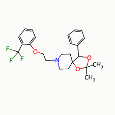 CC1(C)OC(c2ccccc2)C2(CCN(CCOc3ccccc3C(F)(F)F)CC2)O1